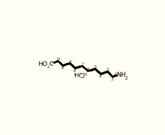 Cl.NCCCCCCCCCCC(=O)O